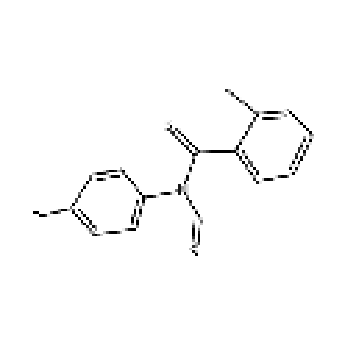 Cc1ccccc1C(=S)N(C=S)c1ccc(F)cc1